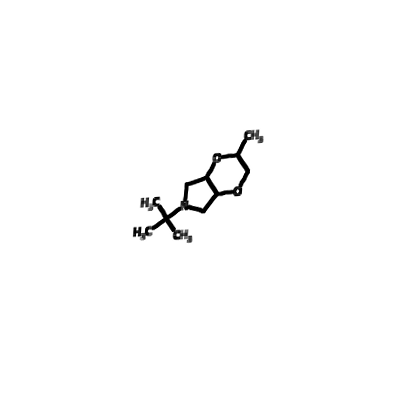 CC1COC2CN(C(C)(C)C)CC2O1